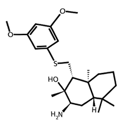 COc1cc(OC)cc(SC[C@H]2[C@@](C)(O)[C@H](N)C[C@H]3C(C)(C)CCC[C@@]32C)c1